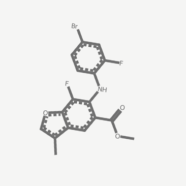 COC(=O)c1cc2c(C)coc2c(F)c1Nc1ccc(Br)cc1F